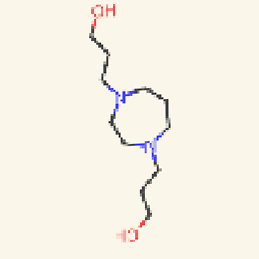 OCCCN1CCCN(CCCO)CC1